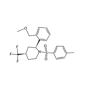 COCc1ccccc1[C@@H]1C[C@H](C(F)(F)F)CCN1S(=O)(=O)c1ccc(C)cc1